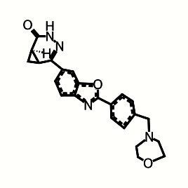 O=C1NN=C(c2ccc3nc(-c4ccc(CN5CCOCC5)cc4)oc3c2)C2C[C@@H]12